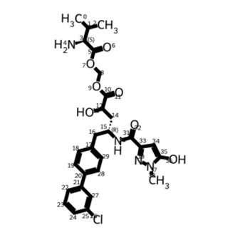 CC(C)[C@H](N)C(=O)OCOC(=O)C(O)C[C@@H](Cc1ccc(-c2cccc(Cl)c2)cc1)NC(=O)c1cc(O)n(C)n1